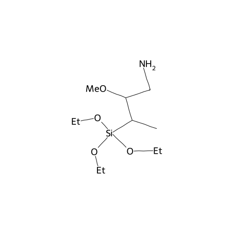 CCO[Si](OCC)(OCC)C(C)C(CN)OC